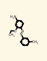 CCOc1cc(N)ccc1/N=N/c1cccc(C)c1